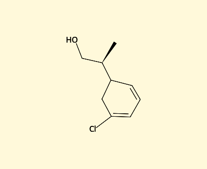 C[C@H](CO)C1C=CC=C(Cl)C1